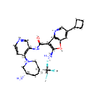 Nc1oc2cc(C3CCC3)cnc2c1C(=O)Nc1cnccc1N1C[C@@H](N)C[C@@H](C(F)(F)F)C1